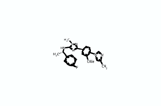 COc1cc(-c2nc(N[C@@H](C)c3ccc(F)cc3)n(C)n2)ccc1-n1cnc(C)c1